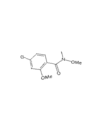 COc1cc(Cl)ccc1C(=O)N(C)OC